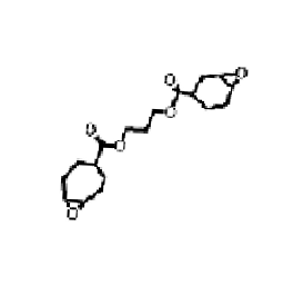 O=C(OCCCOC(=O)C1CCC2OC2C1)C1CCC2OC2CC1